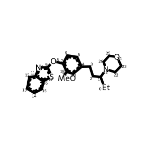 CCC(CCc1ccc(Oc2nc3ccccc3s2)c(OC)c1)N1CCOCC1